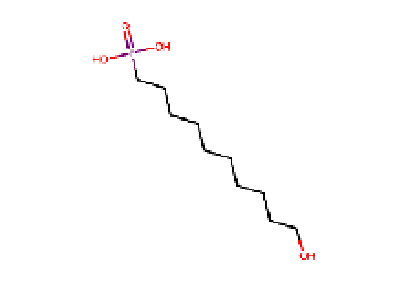 O=P(O)(O)CCCCCCCCCCO